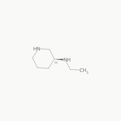 CCN[C@H]1CCCNC1